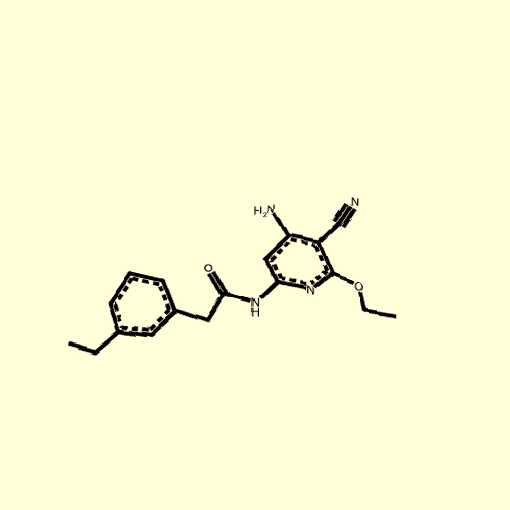 CCOc1nc(NC(=O)Cc2cccc(CC)c2)cc(N)c1C#N